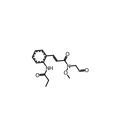 CCC(=O)Nc1ccccc1/C=C/C(=O)N(C[C]=O)OC